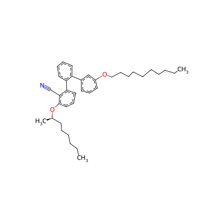 CCCCCCCCCCOc1cccc(-c2ccccc2-c2cccc(O[C@H](C)CCCCCC)c2C#N)c1